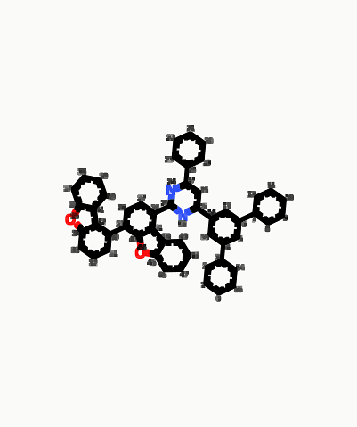 c1ccc(-c2cc(-c3ccccc3)cc(-c3cc(-c4ccccc4)nc(-c4ccc(-c5cccc6oc7ccccc7c56)c5oc6ccccc6c45)n3)c2)cc1